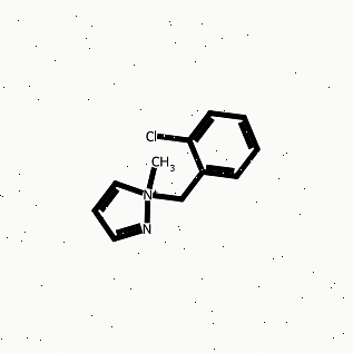 C[N+]1(Cc2ccccc2Cl)C=CC=N1